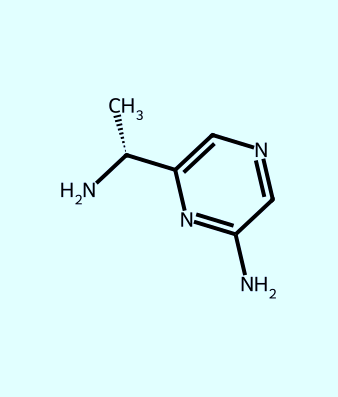 C[C@@H](N)c1cncc(N)n1